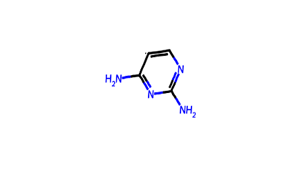 Nc1[c]cnc(N)n1